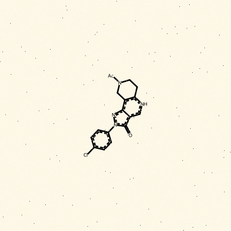 CC(=O)N1CCc2[nH]cc3c(=O)n(-c4ccc(Cl)cc4)nc-3c2C1